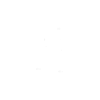 [2H]C([2H])([2H])S(=O)(=O)C([2H])([2H])C(C(C)(C)C)C(C)(C)C